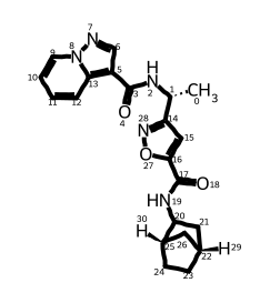 C[C@@H](NC(=O)c1cnn2ccccc12)c1cc(C(=O)NC2C[C@@H]3CC[C@H]2C3)on1